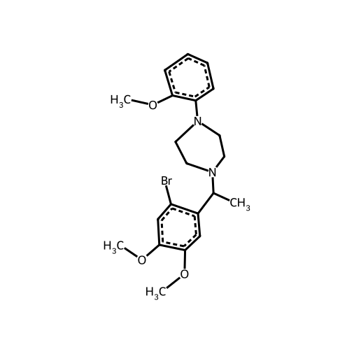 COc1cc(Br)c(C(C)N2CCN(c3ccccc3OC)CC2)cc1OC